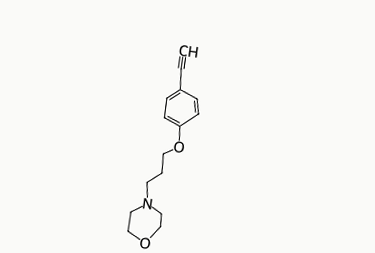 C#Cc1ccc(OCCCN2CCOCC2)cc1